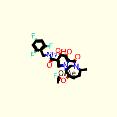 COC(C)(F)OC1CCC(C)N2CC1n1cc(C(=O)NCc3c(F)cc(F)cc3F)c(=O)c(O)c1C2=O